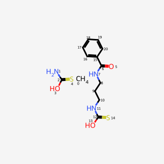 C.NC(O)=S.O=C(NCCCNC(O)=S)c1ccccc1